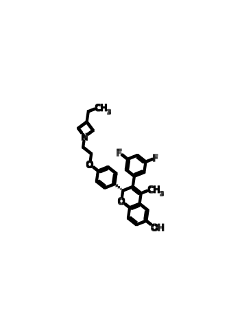 CCC1CN(CCOc2ccc([C@H]3Oc4ccc(O)cc4C(C)=C3c3cc(F)cc(F)c3)cc2)C1